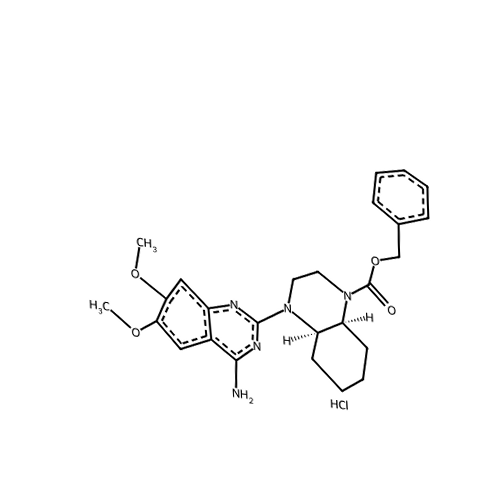 COc1cc2nc(N3CCN(C(=O)OCc4ccccc4)[C@H]4CCCC[C@H]43)nc(N)c2cc1OC.Cl